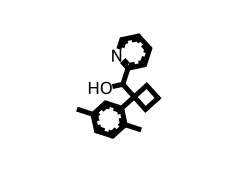 Cc1ccc(C)c(C2(C(O)c3ccccn3)CCC2)c1